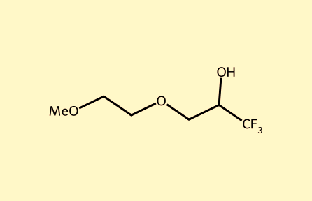 COCCOCC(O)C(F)(F)F